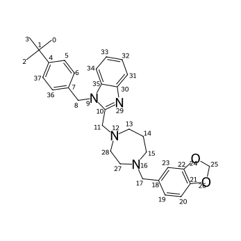 CC(C)(C)c1ccc(Cn2c(CN3CCCN(Cc4ccc5c(c4)OCO5)CC3)nc3ccccc32)cc1